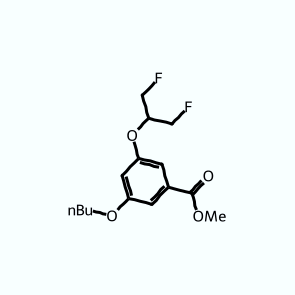 CCCCOc1cc(OC(CF)CF)cc(C(=O)OC)c1